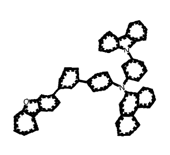 c1cc(-c2ccc(N(c3cccc(-n4c5ccccc5c5ccccc54)c3)c3cc4ccccc4c4ccccc34)cc2)cc(-c2ccc3c(c2)oc2ccccc23)c1